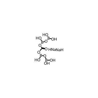 O=C(OB(O)OB(O)O)OB(O)OB(O)O.[NaH].[NaH]